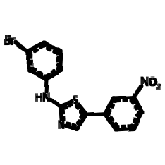 O=[N+]([O-])c1cccc(-c2cnc(Nc3cccc(Br)c3)s2)c1